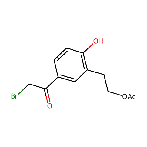 CC(=O)OCCc1cc(C(=O)CBr)ccc1O